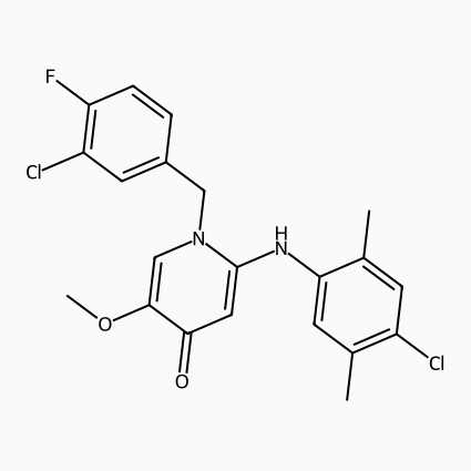 COc1cn(Cc2ccc(F)c(Cl)c2)c(Nc2cc(C)c(Cl)cc2C)cc1=O